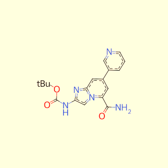 CC(C)(C)OC(=O)Nc1cn2c(C(N)=O)cc(-c3cccnc3)cc2n1